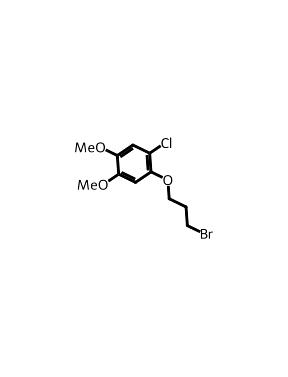 COc1cc(Cl)c(OCCCBr)cc1OC